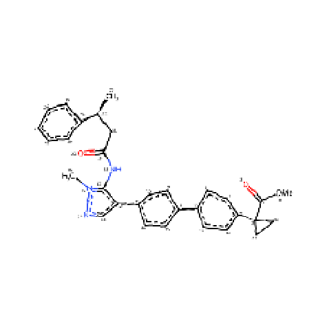 COC(=O)C1(c2ccc(-c3ccc(-c4cnn(C)c4NC(=O)C[C@H](C)c4ccccc4)cc3)cc2)CC1